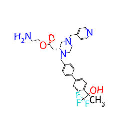 CC(O)(c1ccc(-c2ccc(CN3CCN(Cc4ccncc4)C[C@H]3CC(=O)OCCN)cc2)cc1)C(F)(F)F